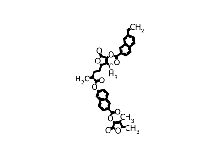 C=Cc1ccc2ccc(C(=O)OC3=C(C)C(CCC(=C)C(=O)Oc4ccc5cc(C(=O)OC6=C(C)C(C)OC6=O)ccc5c4)OC3=O)cc2c1